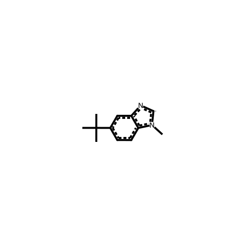 Cn1[c]nc2cc(C(C)(C)C)ccc21